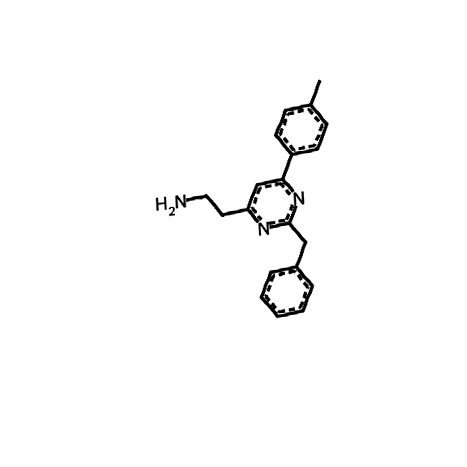 Cc1ccc(-c2cc(CCN)nc(Cc3ccccc3)n2)cc1